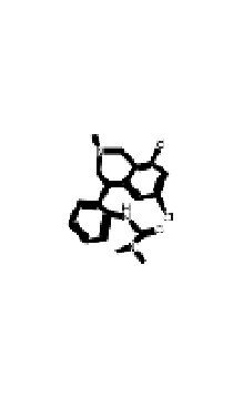 CN1Cc2c(Cl)cc(Cl)cc2C(c2ccccc2NC(=O)N(C)C)C1